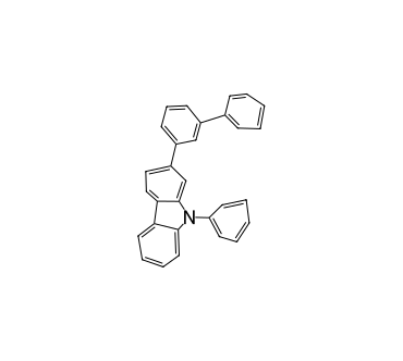 c1ccc(-c2cccc(-c3ccc4c5ccccc5n(-c5ccccc5)c4c3)c2)cc1